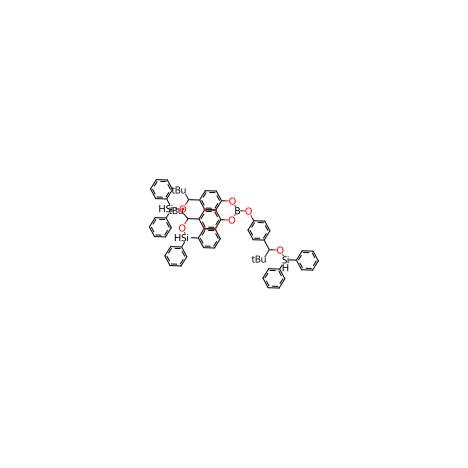 CC(C)(C)C(O[SiH](c1ccccc1)c1ccccc1)c1ccc(OB(Oc2ccc(C(O[SiH](c3ccccc3)c3ccccc3)C(C)(C)C)cc2)Oc2ccc(C(O[SiH](c3ccccc3)c3ccccc3)C(C)(C)C)cc2)cc1